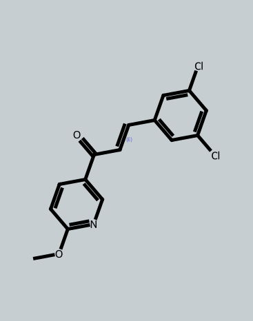 COc1ccc(C(=O)/C=C/c2cc(Cl)cc(Cl)c2)cn1